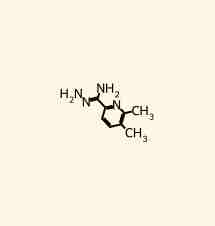 Cc1ccc(C(N)=NN)nc1C